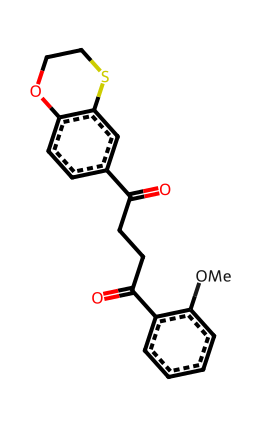 COc1ccccc1C(=O)CCC(=O)c1ccc2c(c1)SCCO2